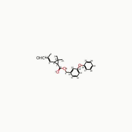 C/C(C=O)=C\C1C(C(=O)OCc2cccc(Oc3ccccc3)c2)C1(C)C